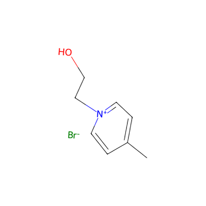 Cc1cc[n+](CCO)cc1.[Br-]